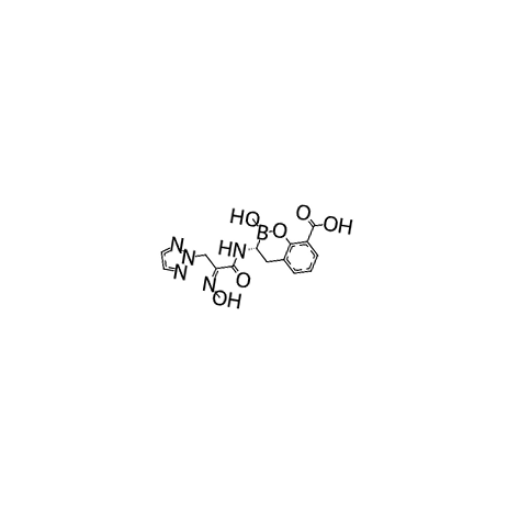 O=C(N[C@H]1Cc2cccc(C(=O)O)c2OB1O)/C(Cn1nccn1)=N\O